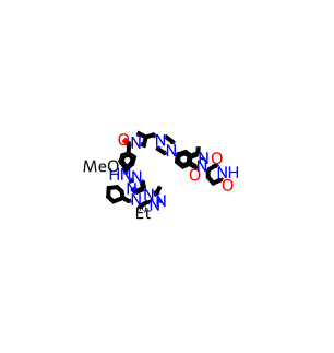 CC[C@@H]1c2nnc(C)n2-c2cnc(Nc3ccc(C(=O)N4CC(CN5CCN(c6ccc7c(=O)n(C8CCC(=O)NC8=O)nc(C)c7c6)CC5)C4)cc3OC)nc2N1CC1CCCCC1